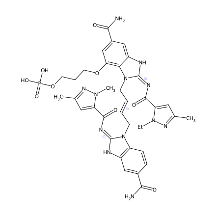 CCn1nc(C)cc1C(=O)/N=c1/[nH]c2cc(C(N)=O)cc(OCCCOP(=O)(O)O)c2n1C/C=C/Cn1/c(=N\C(=O)c2cc(C)nn2C)[nH]c2cc(C(N)=O)ccc21